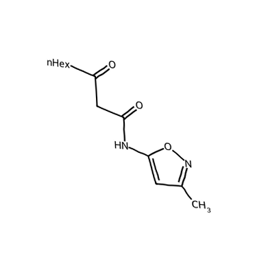 CCCCCCC(=O)CC(=O)Nc1cc(C)no1